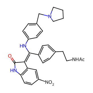 CC(=O)NCCc1ccc(/C(Nc2ccc(CN3CCCC3)cc2)=C2/C(=O)Nc3ccc([N+](=O)[O-])cc32)cc1